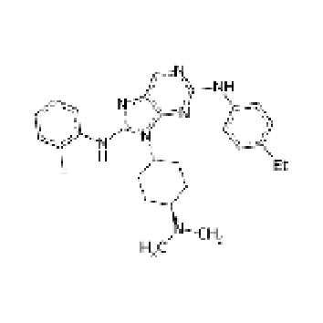 CCc1ccc(Nc2ncc3nc(Nc4ccccc4F)n([C@H]4CC[C@H](N(C)C)CC4)c3n2)cc1